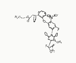 CCOC(=O)COc1ncccc1Oc1cc(-n2c(=O)cc(C(C)(F)F)n(C)c2=O)c(F)cc1[N+](=O)[O-]